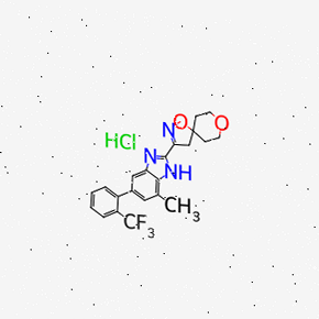 Cc1cc(-c2ccccc2C(F)(F)F)cc2nc(C3=NOC4(CCOCC4)C3)[nH]c12.Cl